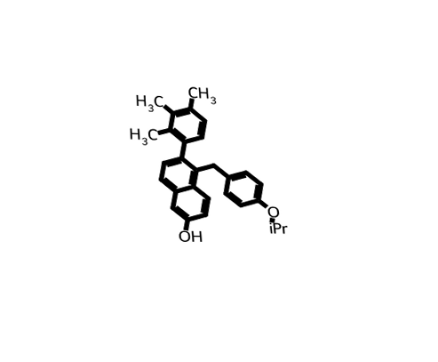 Cc1ccc(-c2ccc3cc(O)ccc3c2Cc2ccc(OC(C)C)cc2)c(C)c1C